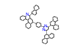 c1ccc2cc(-c3nc4ccccc4c4c3cc(-c3ccc(-c5nc(-c6cc7ccccc7c7ccccc67)cc(-c6cc7ccccc7c7ccccc67)n5)cc3)c3ccccc34)ccc2c1